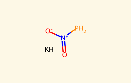 O=[N+]([O-])P.[KH]